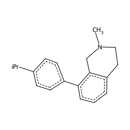 CC(C)c1ccc(-c2cccc3c2CN(C)CC3)cc1